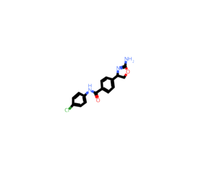 NC1=NC(c2ccc(C(=O)Nc3ccc(Cl)cc3)cc2)CO1